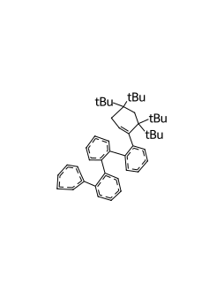 CC(C)(C)C1(C(C)(C)C)CC=C(c2ccccc2-c2ccccc2-c2ccccc2-c2ccccc2)C(C(C)(C)C)(C(C)(C)C)C1